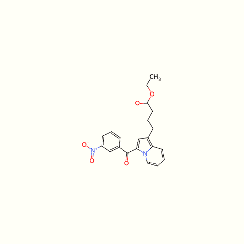 CCOC(=O)CCCc1cc(C(=O)c2cccc([N+](=O)[O-])c2)n2ccccc12